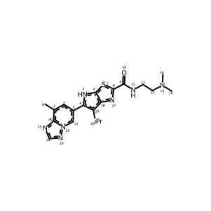 Cc1cc(-c2[nH]c3sc(C(=O)NCCN(C)C)nc3c2C(C)C)cn2ncnc12